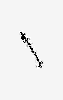 CNOCC(=O)NCCCOCCOCCOCCCNC(=O)CCC(=O)Nc1cccc(C(C)=[N+]=[N-])c1